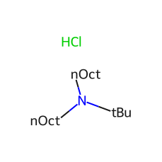 CCCCCCCCN(CCCCCCCC)C(C)(C)C.Cl